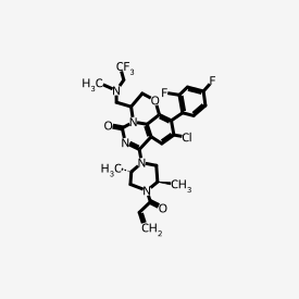 C=CC(=O)N1C[C@H](C)N(c2nc(=O)n3c4c(c(-c5ccc(F)cc5F)c(Cl)cc24)OCC3CN(C)CC(F)(F)F)C[C@H]1C